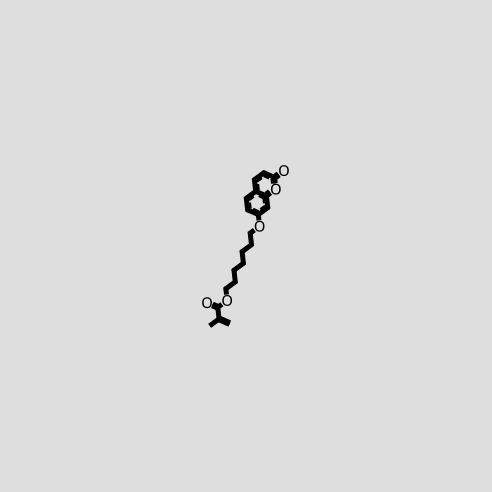 C=C(C)C(=O)OCCCCCCCOc1ccc2ccc(=O)oc2c1